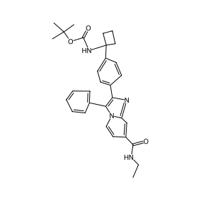 CCNC(=O)c1ccn2c(-c3ccccc3)c(-c3ccc(C4(NC(=O)OC(C)(C)C)CCC4)cc3)nc2c1